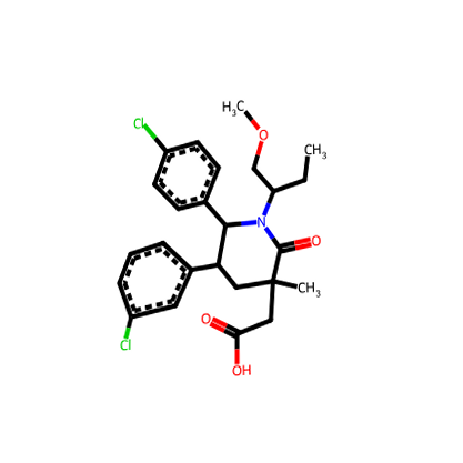 CCC(COC)N1C(=O)C(C)(CC(=O)O)CC(c2cccc(Cl)c2)C1c1ccc(Cl)cc1